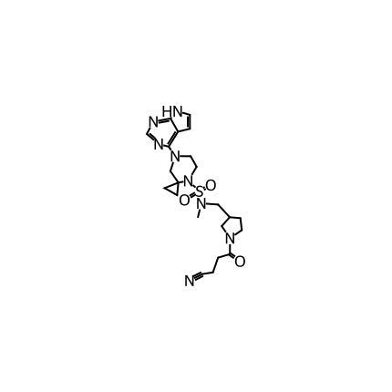 CN(CC1CCN(C(=O)CCC#N)C1)S(=O)(=O)N1CCN(c2ncnc3[nH]ccc23)CC12CC2